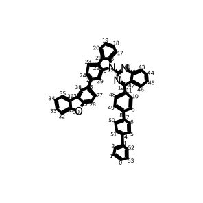 c1ccc(-c2ccc(-c3ccc(-c4nc(-n5c6ccccc6c6ccc(-c7ccc8oc9ccccc9c8c7)cc65)nc5ccccc45)cc3)cc2)cc1